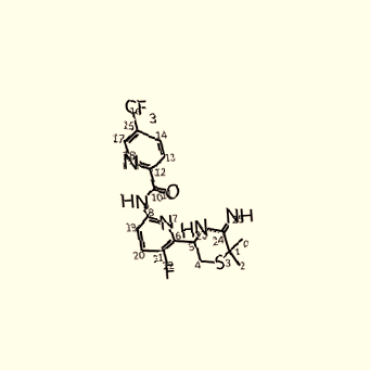 CC1(C)SCC(c2nc(NC(=O)c3ccc(C(F)(F)F)cn3)ccc2F)NC1=N